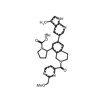 COCc1nccc(C(=O)N2CCc3cc(-c4cnc5[nH]cc(C)c5c4)cc(C4CCCN4C(=O)OC(C)(C)C)c3C2)n1